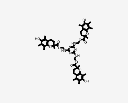 Cc1c(C)c2c(c(C)c1O)CCC(C)(C(=O)OCNc1nc(NCOC(=O)C3(C)CCc4c(C)c(O)c(C)c(C)c4O3)nc(NCOC(=O)C3(C)CCc4c(C)c(C)c(O)c(C)c4O3)n1)O2